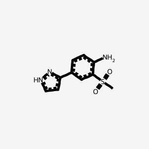 CS(=O)(=O)c1cc(-c2cc[nH]n2)ccc1N